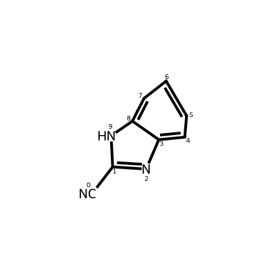 N#Cc1nc2ccccc2[nH]1